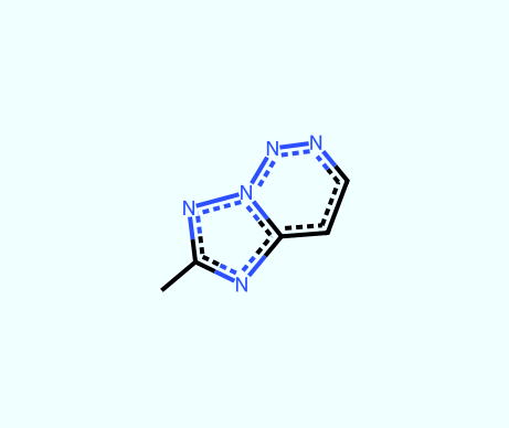 Cc1nc2ccnnn2n1